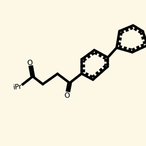 CC(C)C(=O)CCC(=O)c1ccc(-c2ccccc2)cc1